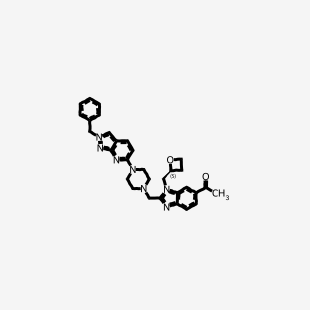 CC(=O)c1ccc2nc(CN3CCN(c4ccc5cn(Cc6ccccc6)nc5n4)CC3)n(C[C@@H]3CCO3)c2c1